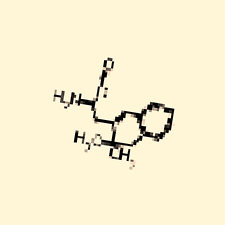 CC1(C)Cc2ccccc2C=C1CC(N)OC=O